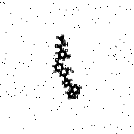 NCC(CN1CCC(Oc2cc(F)cc(C(=O)NC3CC3)c2)CC1)n1cc(-c2ncnc3[nH]ccc23)cn1